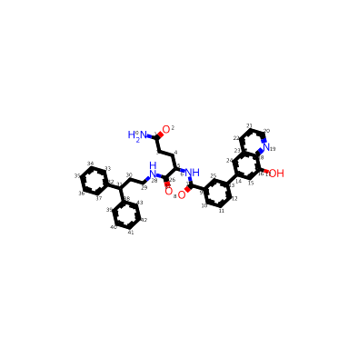 NC(=O)CCC(NC(=O)c1cccc(-c2cc(O)c3ncccc3c2)c1)C(=O)NCCC(c1ccccc1)c1ccccc1